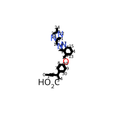 CC#CC(CC(=O)O)c1ccc(OCc2cccc3nn(Cc4cnc(C)cn4)cc23)cc1